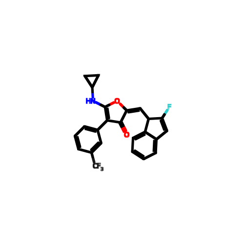 O=C1C(=CC2C(F)=Cc3ccccc32)OC(NC2CC2)=C1c1cccc(C(F)(F)F)c1